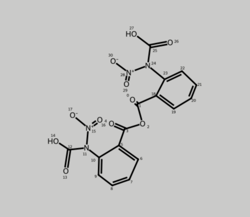 O=C(OC(=O)c1ccccc1N(C(=O)O)[N+](=O)[O-])c1ccccc1N(C(=O)O)[N+](=O)[O-]